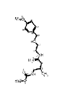 C=C(C[C@@H](C)CNC(=O)OC(C)(C)C)NCCOCc1ccc(OC)cc1